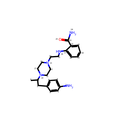 CC(Cc1ccc(N)cc1)N1CCN(CCNc2ccccc2C(N)=O)CC1